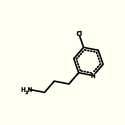 NCCCc1cc(Cl)ccn1